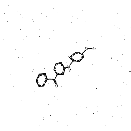 CCOc1ccc(Nc2cccc(C(=O)c3ccccc3)c2)cc1